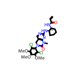 C=CC(=O)N[C@H]1CCCC[C@H]1Nc1ncc2c(n1)N(C)C(=O)N(c1c(Cl)c(OC)c(OC)c(OC)c1Cl)C2